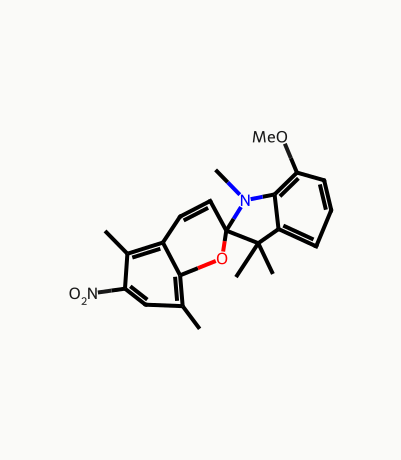 COc1cccc2c1N(C)C1(C=Cc3c(C)c([N+](=O)[O-])cc(C)c3O1)C2(C)C